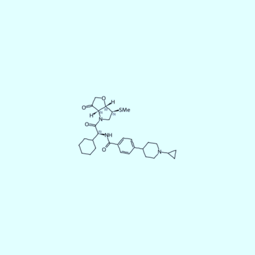 CS[C@H]1CN(C(=O)[C@@H](NC(=O)c2ccc(C3CCN(C4CC4)CC3)cc2)C2CCCCC2)[C@@H]2C(=O)CO[C@H]12